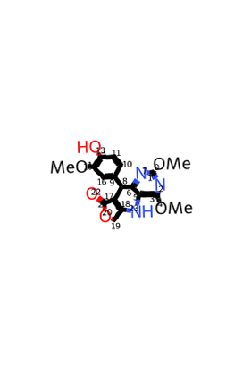 COc1nc(OC)c2c(n1)C(c1ccc(O)c(OC)c1)C1=C(COC1=O)N2